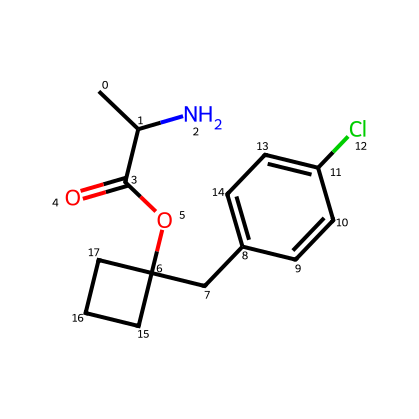 CC(N)C(=O)OC1(Cc2ccc(Cl)cc2)CCC1